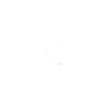 CC(C)O[Si](C)(OC(C)C)OC(C)(C)O